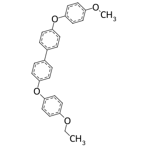 CCOc1ccc(Oc2ccc(-c3ccc(Oc4ccc(OC)cc4)cc3)cc2)cc1